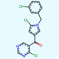 O=C(c1cc(Cl)n(Cc2cccc(Cl)c2)c1)c1cncnc1Cl